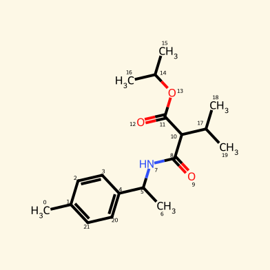 Cc1ccc(C(C)NC(=O)C(C(=O)OC(C)C)C(C)C)cc1